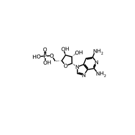 Nc1cc2c(ncn2[C@@H]2O[C@H](COP(=O)(O)O)[C@@H](O)[C@@H]2O)c(N)n1